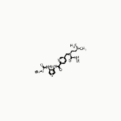 CCNC(=O)N(CCN(C)C)Cc1ccc(C(=O)Nc2cscc2NC(=O)OC(C)(C)C)nc1